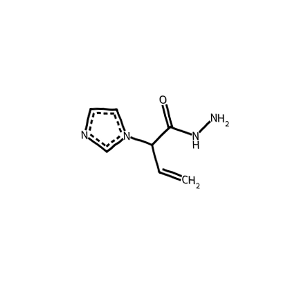 C=CC(C(=O)NN)n1ccnc1